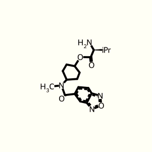 CC(C)[C@H](N)C(=O)OC1CCC(N(C)C(=O)c2ccc3nonc3c2)CC1